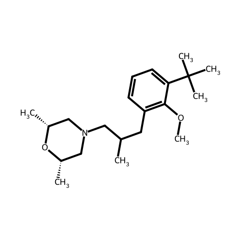 COc1c(CC(C)CN2C[C@@H](C)O[C@@H](C)C2)cccc1C(C)(C)C